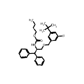 CCCCOC(=O)NC(COCc1cc(Cl)cc(C(C)(C)C)c1)C(c1ccccc1)c1ccccc1